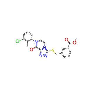 COC(=O)c1cccc(CSc2nnc3c(=O)n(-c4cccc(Cl)c4C)ccn23)c1